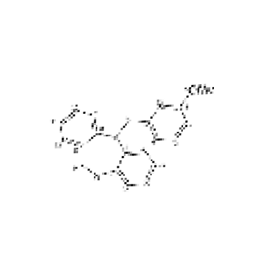 COc1cccc(CC2c3ccccc3CCc3ccccc32)c1